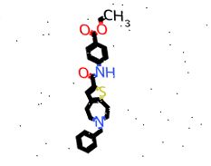 CCOC(=O)c1ccc(NC(=O)c2cc3c(s2)CCN(Cc2ccccc2)CC3)cc1